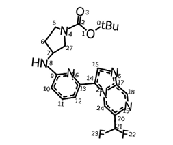 CC(C)(C)OC(=O)N1CCC(Nc2cccc(-c3cnc4cnc(C(F)F)cn34)n2)C1